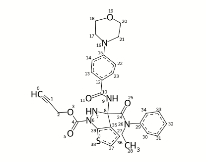 C#CCOC(=O)N1NC(NC(=O)c2ccc(N3CCOCC3)cc2)(C(=O)N(CC)c2ccccc2)c2ccsc21